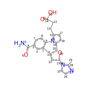 Cc1cc(C(N)=O)ccc1-n1c(CCC(=O)O)ccc1-c1ccc(-n2ccnc2C)o1